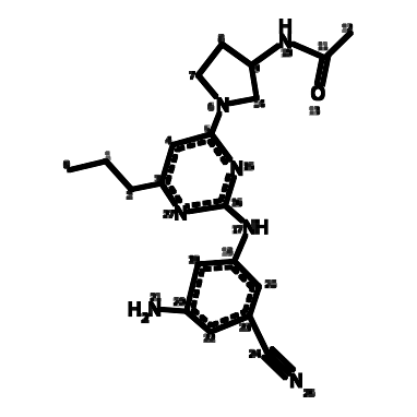 CCCc1cc(N2CCC(NC(C)=O)C2)nc(Nc2cc(N)cc(C#N)c2)n1